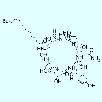 CC[C@H](C)C[C@H](C)CCCCCCCCC(=O)N[C@H]1C[C@@H](O)[C@@H](O)NC(=O)[C@@H]2[C@@H](O)CCN2C(=O)[C@H]([C@H](O)CC(N)=O)NC(=O)[C@H]([C@H](O)[C@@H](O)c2ccc(O)cc2)NC(=O)[C@@H]2C[C@@H](O)CN2C(=O)[C@H]([C@@H](C)O)NC1=O